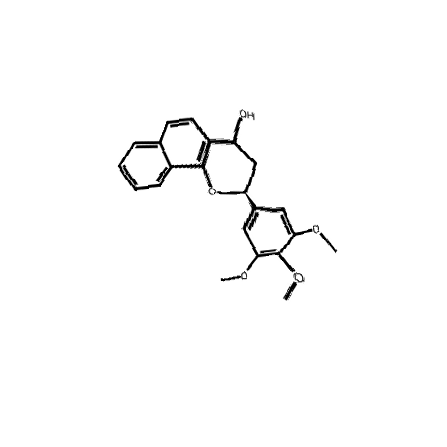 COc1cc([C@@H]2CC(O)c3ccc4ccccc4c3O2)cc(OC)c1OC